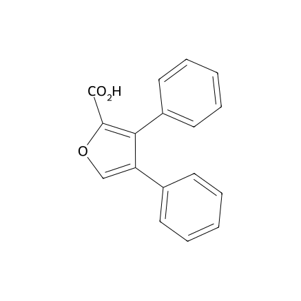 O=C(O)c1occ(-c2ccccc2)c1-c1ccccc1